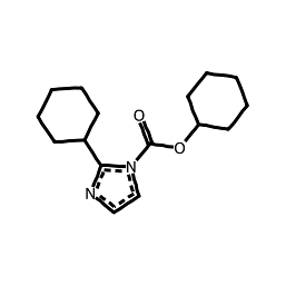 O=C(OC1CCCCC1)n1ccnc1C1CCCCC1